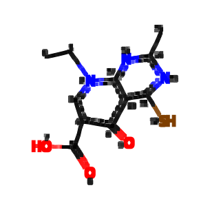 CCn1cc(C(=O)O)c(=O)c2c(S)nc(C)nc21